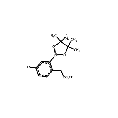 CCOC(=O)Cc1ccc(F)cc1B1OC(C)(C)C(C)(C)O1